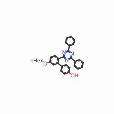 CCCCCCOc1ccc(-c2nc(-c3ccccc3)nc(-c3ccccc3)n2)c(-c2ccc(O)cc2)c1